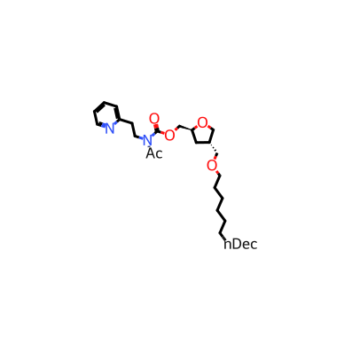 CCCCCCCCCCCCCCCCOC[C@H]1CO[C@H](COC(=O)N(CCc2ccccn2)C(C)=O)C1